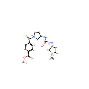 COC(=O)c1ccc(C(=O)N2CC[C@@H](NC(=O)N[C@@H]3CCN(C)C3)C2)cc1